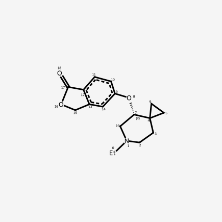 CCN1CCC2(CC2)[C@@H](Oc2ccc3c(c2)COC3=O)C1